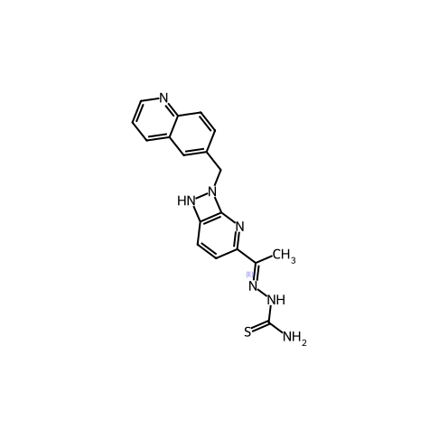 C/C(=N\NC(N)=S)c1ccc2[nH]n(Cc3ccc4ncccc4c3)c2n1